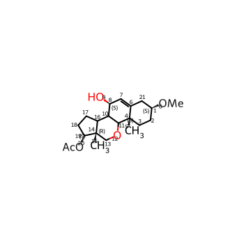 CO[C@H]1CC[C@@]2(C)C(=C[C@H](O)C3C2OC[C@@]2(C)C3CC[C@@H]2OC(C)=O)C1